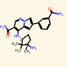 CC1(C)[C@H](Nc2c(C(N)=O)cnn3cc(-c4cccc(C(N)=O)c4)cc23)CC[C@]1(C)N